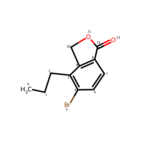 CCCc1c(Br)ccc2c1COC2=O